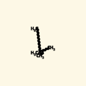 CCCCCCCCCCCCCCCc1n(C(C)C)cc[n+]1CCCCC